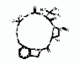 CC1(C)CCCCc2cccc3c2CN(C3)C(=O)O[C@@H]2C[C@@H](C=O)N(C2)C(=O)[C@H](C(C)(C)C)NC(=O)OC1